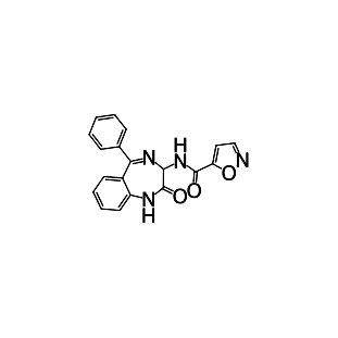 O=C(NC1N=C(c2ccccc2)c2ccccc2NC1=O)c1ccno1